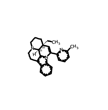 CC[C@@]12C=C(c3cccc(C)n3)n3c4c(c5ccccc53)CCN(CCC1)[C@H]42